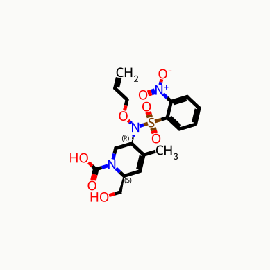 C=CCON([C@H]1CN(C(=O)O)[C@H](CO)C=C1C)S(=O)(=O)c1ccccc1[N+](=O)[O-]